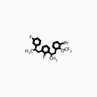 CC(C)c1cccc(CC(C)c2cccc(CC(C)c3cccc(F)c3)c2F)c1OC(F)(F)F